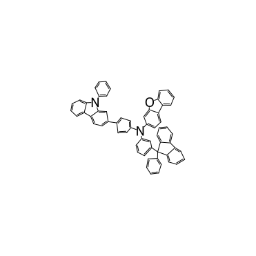 c1ccc(-n2c3ccccc3c3ccc(-c4ccc(N(c5cccc(C6(c7ccccc7)c7ccccc7-c7ccccc76)c5)c5ccc6c(c5)oc5ccccc56)cc4)cc32)cc1